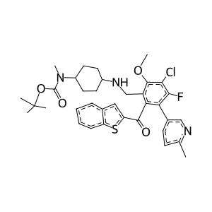 COc1c(Cl)c(F)c(-c2ccc(C)nc2)c(C(=O)c2cc3ccccc3s2)c1CNC1CCC(N(C)C(=O)OC(C)(C)C)CC1